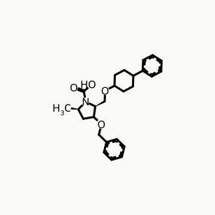 C[C@@H]1CC(OCc2ccccc2)[C@H](COC2CCC(c3ccccc3)CC2)N1C(=O)O